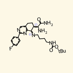 CC(C)(C)OC(=O)NCCCC/N=C1\C(=C(/N)C(N)=O)CCc2cnc(-c3ccc(F)cc3)nc21